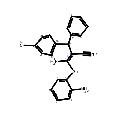 N#C/C(=C(/N)Sc1ccccc1N)C(c1ccccc1)c1ccc(Cl)cc1